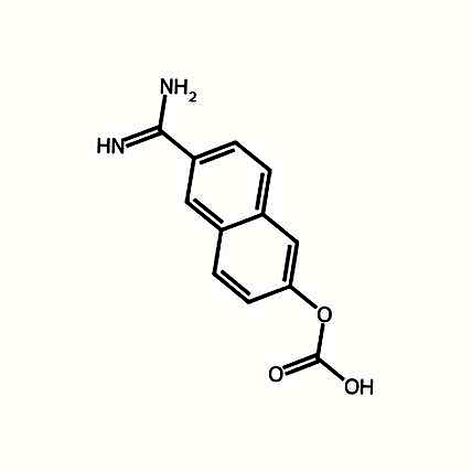 N=C(N)c1ccc2cc(OC(=O)O)ccc2c1